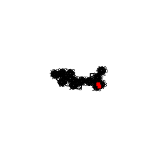 Cc1ccccc1B(c1cc2c3cccc4c3c(cc2c2ccccc12)-c1ccc(-c2ccc(N(c3ccccc3)c3c(F)cc(-c5ccccc5)cc3-c3ccccc3)cc2)cc1O4)c1cccc2c1oc1ccccc12